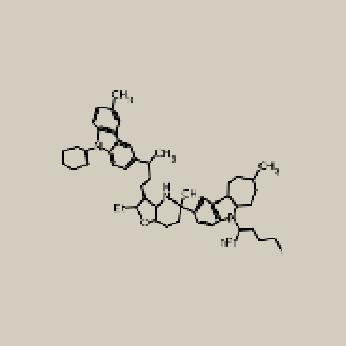 CCCC(CCCI)N1c2ccc(C3(C)CCC4OC(CC)C(CCC(C)c5ccc6c(c5)c5cc(C)ccc5n6C5CCCCC5)C4N3)cc2C2CCC(C)CCC21